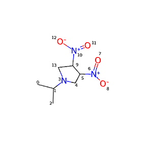 CC(C)N1CC([N+](=O)[O-])C([N+](=O)[O-])C1